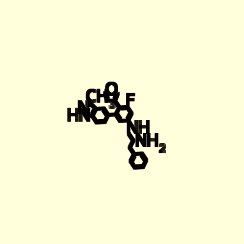 Cc1n[nH]c2ccc(-c3cc(NC[C@H](N)Cc4ccccc4)cc(F)c3-c3ccoc3)cc12